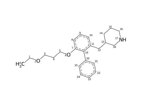 CCOCCCOc1cccc(CC2CCCNC2)c1-c1ccccc1